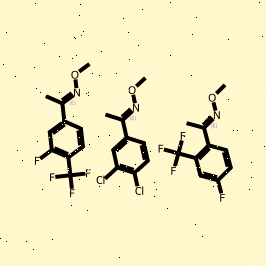 CO/N=C(\C)c1ccc(C(F)(F)F)c(F)c1.CO/N=C(\C)c1ccc(Cl)c(Cl)c1.CO/N=C(\C)c1ccc(F)cc1C(F)(F)F